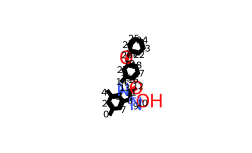 Cc1cc(C)c2c(c1)/C(=N/O)C(=O)N2Cc1cccc(Oc2ccccc2)c1